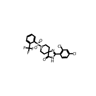 O=C1NC(c2ccc(Cl)cc2Cl)=NC12CCN(S(=O)(=O)c1ccccc1C(F)(F)F)CC2